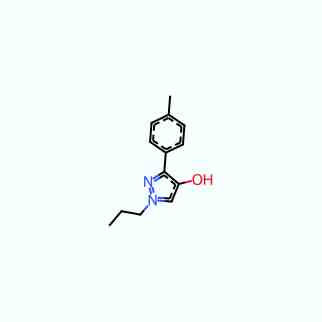 CCCn1cc(O)c(-c2ccc(C)cc2)n1